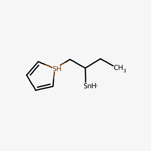 CC[CH]([SnH])C[SH]1C=CC=C1